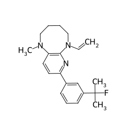 C=CN1CCCCN(C)c2ccc(-c3cccc(C(C)(C)F)c3)nc21